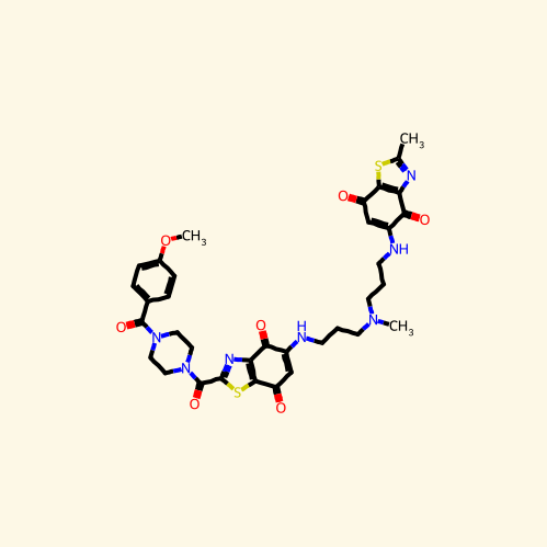 COc1ccc(C(=O)N2CCN(C(=O)c3nc4c(s3)C(=O)C=C(NCCCN(C)CCCNC3=CC(=O)c5sc(C)nc5C3=O)C4=O)CC2)cc1